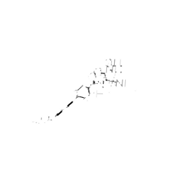 CCOCC#CC#Cc1ccc(C(=O)N[C@H](C(=O)NO)C(C)(C)N)cc1